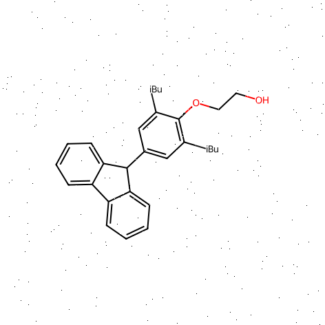 CCC(C)c1cc(C2c3ccccc3-c3ccccc32)cc(C(C)CC)c1OCCO